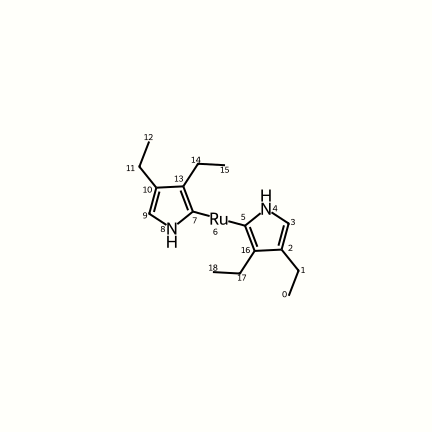 CCc1c[nH][c]([Ru][c]2[nH]cc(CC)c2CC)c1CC